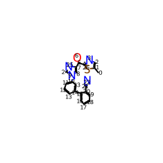 Cc1cnc(C(=O)c2cn(-c3cccc(-c4ccccc4C#N)c3)cn2)s1